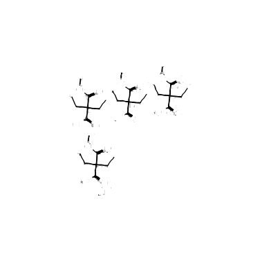 CCC(CC)(C(=O)[O-])C(=O)OC.CCC(CC)(C(=O)[O-])C(=O)OC.CCC(CC)(C(=O)[O-])C(=O)OC.CCC(CC)(C(=O)[O-])C(=O)OC.[Zr+4]